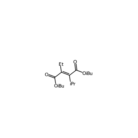 CCC(C(=O)OCC(C)C)=C(C(=O)OCC(C)C)C(C)C